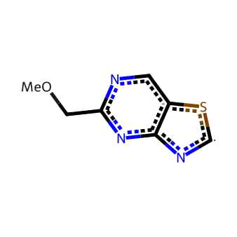 COCc1ncc2s[c]nc2n1